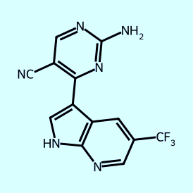 N#Cc1cnc(N)nc1-c1c[nH]c2ncc(C(F)(F)F)cc12